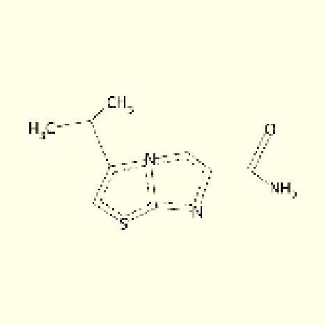 CC(C)c1csc2nc(C(N)=O)cn12